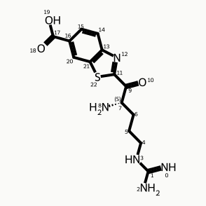 N=C(N)NCCC[C@H](N)C(=O)c1nc2ccc(C(=O)O)cc2s1